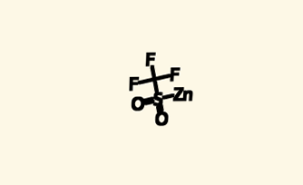 O=[S](=O)([Zn])C(F)(F)F